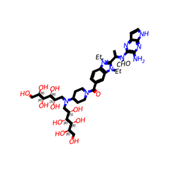 CCn1c(C(C)N(C=O)c2nc3cc[nH]c3nc2N)[n+](CC)c2ccc(C(=O)N3CCC(N(C[C@H](O)[C@@H](O)[C@H](O)[C@H](O)CO)C[C@H](O)[C@@H](O)[C@H](O)[C@H](O)CO)CC3)cc21